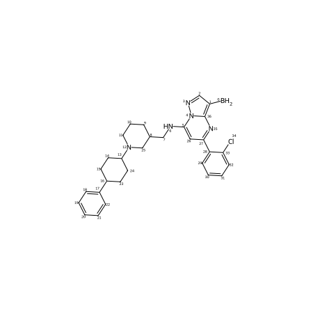 Bc1cnn2c(NCC3CCCN(C4CCC(c5ccccc5)CC4)C3)cc(-c3ccccc3Cl)nc12